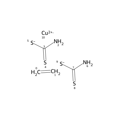 C=C.NC(=S)[S-].NC(=S)[S-].[Cu+2]